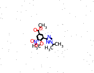 COC(=O)c1cc(-c2ncn(C(C)C)n2)c(OC)c([N+](=O)[O-])c1